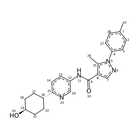 Cc1ccc(-n2ncc(C(=O)Nc3ccc([C@H]4CC[C@H](O)CC4)nc3)c2C)cc1